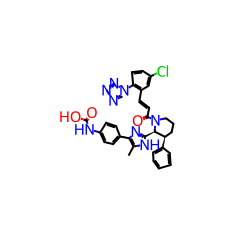 Cc1[nH]c([C@@H]2[C@H](c3ccccc3)CCCN2C(=O)/C=C/c2cc(Cl)ccc2-n2cnnn2)nc1-c1ccc(NC(=O)O)cc1